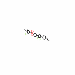 CCCC1CCC(c2ccc(C3CCC(OC(=O)c4ccc(CC)c(F)c4)CC3)c(F)c2F)CC1